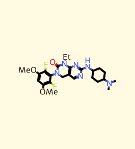 CCN1C(=O)N(c2c(F)c(OC)cc(OC)c2F)Cc2cnc(NC3CCC(N(C)C)CC3)nc21